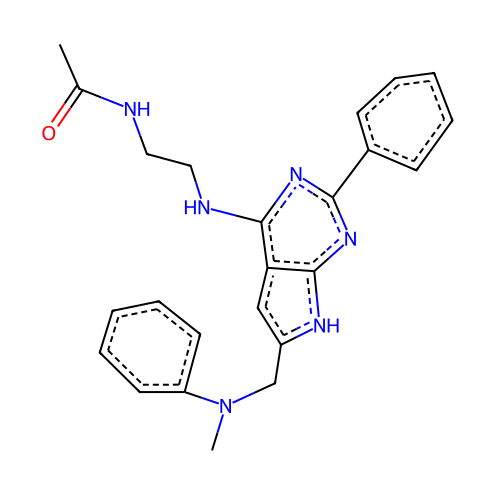 CC(=O)NCCNc1nc(-c2ccccc2)nc2[nH]c(CN(C)c3ccccc3)cc12